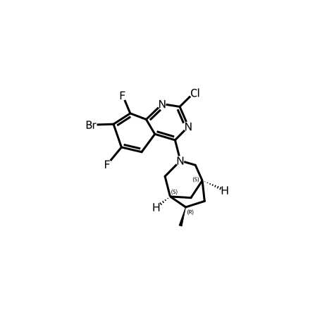 C[C@@H]1C[C@H]2C[C@@H]1CN(c1nc(Cl)nc3c(F)c(Br)c(F)cc13)C2